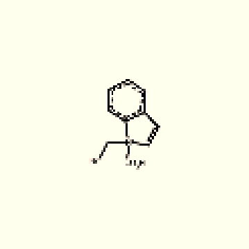 N#CC[N+]1(C(=O)O)C=Cc2ccccc21